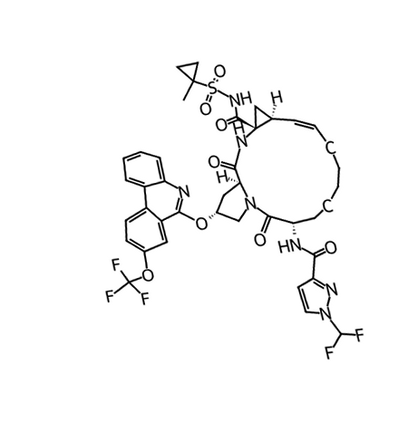 CC1(S(=O)(=O)NC(=O)[C@@]23C[C@H]2/C=C\CCCCC[C@H](NC(=O)c2ccn(C(F)F)n2)C(=O)N2C[C@H](Oc4nc5ccccc5c5ccc(OC(F)(F)F)cc45)C[C@H]2C(=O)N3)CC1